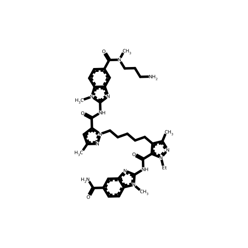 CCn1nc(C)c(CCCCCn2nc(C)cc2C(=O)Nc2nc3cc(C(=O)N(C)CCCN)ccc3n2C)c1C(=O)Nc1nc2cc(C(N)=O)ccc2n1C